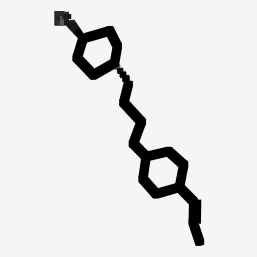 CC=CC1CCC(CCCC[C@H]2CC[C@H](CC)CC2)CC1